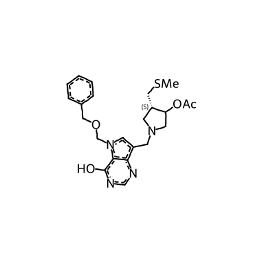 CSC[C@H]1CN(Cc2cn(COCc3ccccc3)c3c(O)ncnc23)CC1OC(C)=O